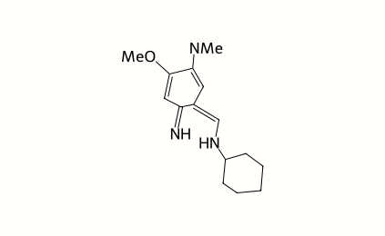 CNC1=C/C(=C/NC2CCCCC2)C(=N)C=C1OC